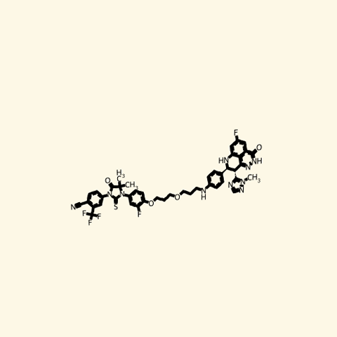 Cn1ncnc1[C@H]1c2n[nH]c(=O)c3cc(F)cc(c23)N[C@@H]1c1ccc(NCCCOCCCOc2ccc(N3C(=S)N(c4ccc(C#N)c(C(F)(F)F)c4)C(=O)C3(C)C)cc2F)cc1